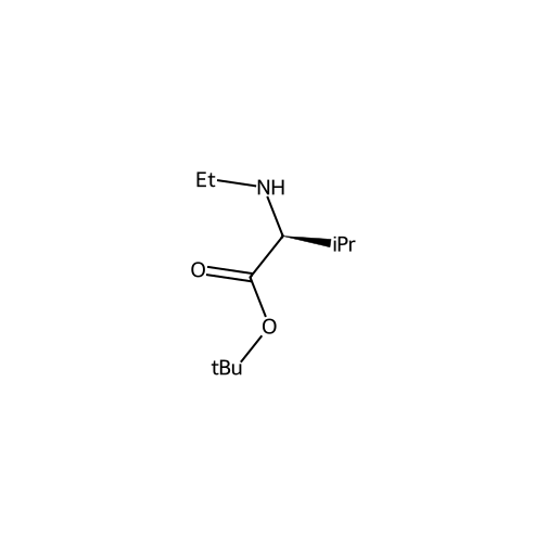 CCN[C@H](C(=O)OC(C)(C)C)C(C)C